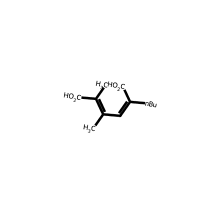 CCCCC(=CC(C)=C(C)C(=O)O)C(=O)O